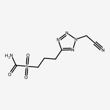 N#CCn1nnc([CH]CCS(=O)(=O)C(N)=O)n1